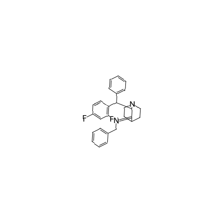 Fc1ccc(C(c2ccccc2)C2C(=NCc3ccccc3)C3CCN2CC3)c(F)c1